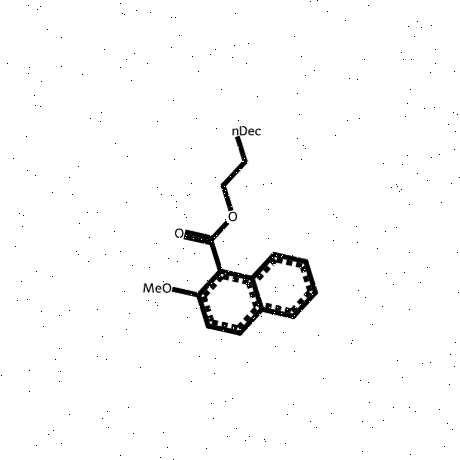 CCCCCCCCCCCCOC(=O)c1c(OC)ccc2ccccc12